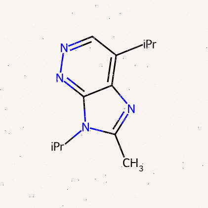 Cc1nc2c(C(C)C)cnnc2n1C(C)C